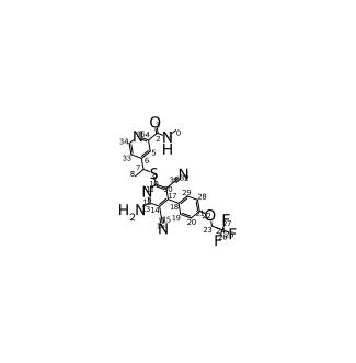 CNC(=O)c1cc(C(C)Sc2nc(N)c(C#N)c(-c3ccc(OCC(F)(F)F)cc3)c2C#N)ccn1